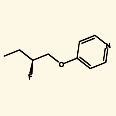 CC[C@H](F)COc1ccncc1